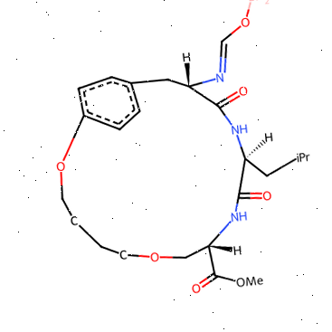 BOC=N[C@H]1Cc2ccc(cc2)OCCCCOC[C@@H](C(=O)OC)NC(=O)[C@H](CC(C)C)NC1=O